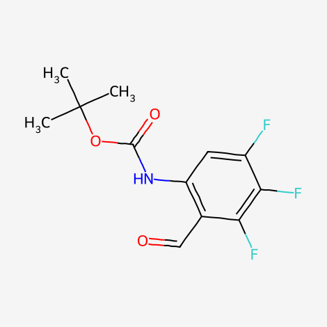 CC(C)(C)OC(=O)Nc1cc(F)c(F)c(F)c1C=O